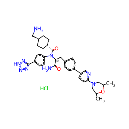 CC1CN(c2ccc(-c3ccc(C[C@@H](C(N)=O)N(c4ccc(-c5nn[nH]n5)cc4)C(=O)[C@H]4CC[C@H](CN)CC4)cc3)cn2)CC(C)O1.Cl